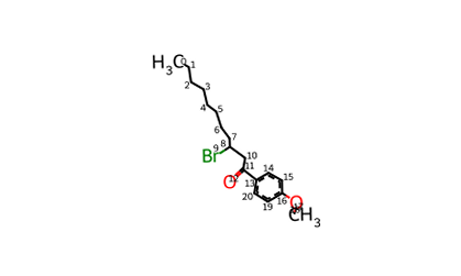 CCCCCCCCC(Br)CC(=O)c1ccc(OC)cc1